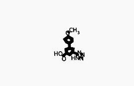 COc1ccc(-c2cc(C(=O)O)cc(-c3nnn[nH]3)c2)cc1